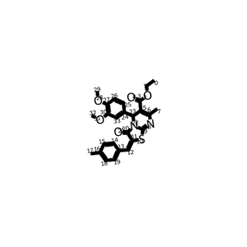 CCOC(=O)C1=C(C)N=c2s/c(=C/c3ccc(C)cc3)c(=O)n2C1c1ccc(OC)c(OC)c1